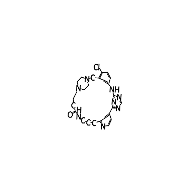 O=C1CCN2CCN(CC2)Cc2cc(ccc2Cl)Nc2ncnc(n2)-c2ccnc(c2)CCCN1